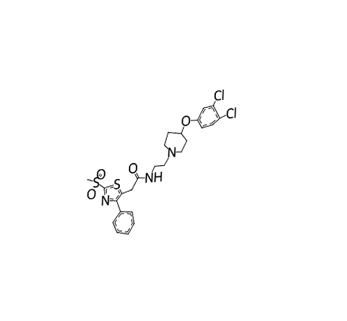 CS(=O)(=O)c1nc(-c2ccccc2)c(CC(=O)NCCN2CCC(Oc3ccc(Cl)c(Cl)c3)CC2)s1